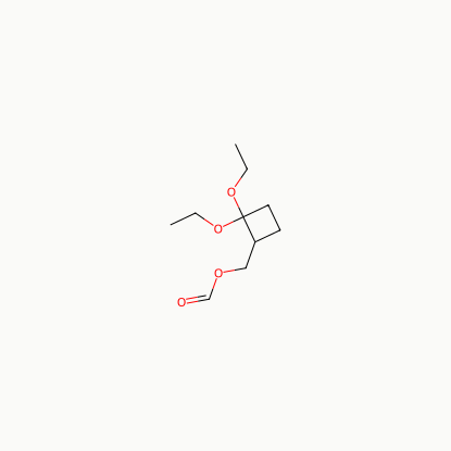 CCOC1(OCC)CCC1COC=O